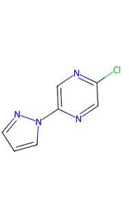 Clc1cnc(-n2cccn2)cn1